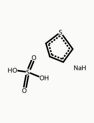 O=S(=O)(O)O.[NaH].c1ccsc1